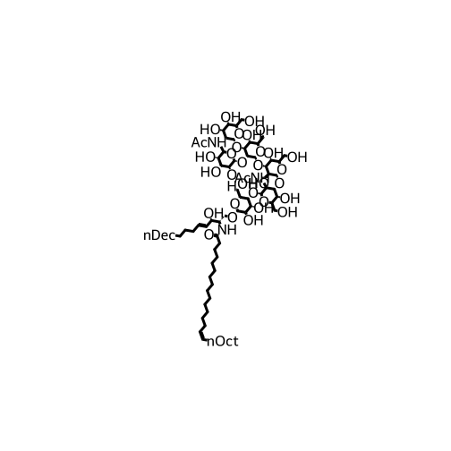 CCCCCCCC/C=C\CCCCCCCCCCCCCC(=O)N[C@@H](CO[C@@H]1OC(CO)[C@@H](O[C@@H]2OC(CO)[C@H](O)[C@H](O[C@@H]3OC(CO)[C@@H](O)[C@H](O[C@@H]4OC(CO)[C@H](O)[C@H](O[C@H]5OC(CO)[C@H](O)[C@H](O)C5NC(C)=O)C4O[C@H]4OC(C)[C@@H](O)C(O)[C@@H]4O)C3NC(C)=O)C2O)[C@H](O)C1O)[C@H](O)/C=C/CCCCCCCCCCCCC